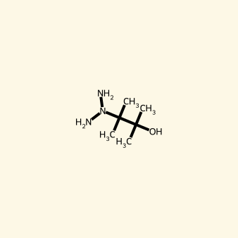 CC(C)(O)C(C)(C)N(N)N